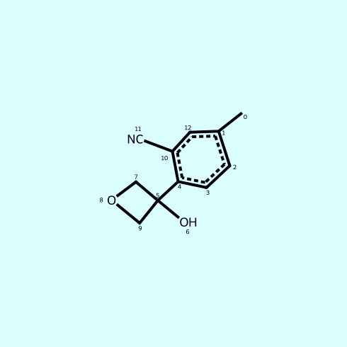 Cc1ccc(C2(O)COC2)c(C#N)c1